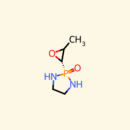 CC1O[C@H]1P1(=O)NCCN1